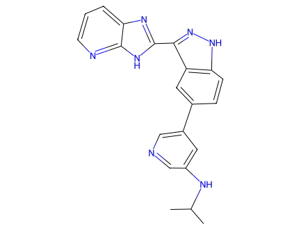 CC(C)Nc1cncc(-c2ccc3[nH]nc(-c4nc5cccnc5[nH]4)c3c2)c1